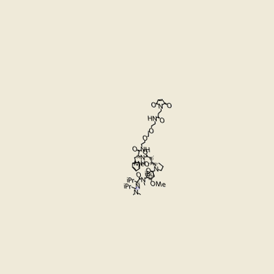 CC[C@H](C)[C@@H]([C@@H](CC(=O)N1CCC[C@H]1[C@H](OC)[C@@H](C)C(=O)N[C@@H](Cc1ccccc1)C(=O)NCCOCCOCCNC(=O)CCN1C(=O)C=CC1=O)OC)N(C)C(=O)[C@@H](/N=C(\C(C)C)N(C)C)C(C)C